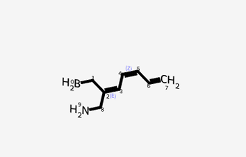 BC/C(=C\C=C/C=C)CN